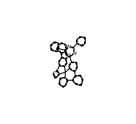 c1ccc(-c2cc(-c3ccc4c(c3)C3(c5ccccc5-c5ccccc5-4)c4ccccc4-c4cc5c(cc43)oc3ccccc35)nc(-c3ccccc3)n2)cc1